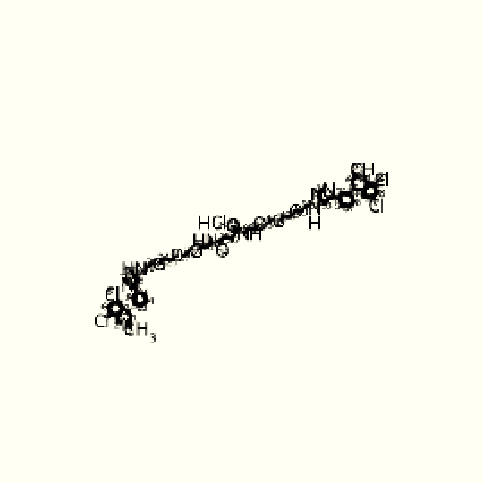 CN1Cc2c(Cl)cc(Cl)cc2[C@H](c2cccc(-c3cc(NCCOCCOCCOCCNC(=O)CCC(=O)NCCOCCOCCOCCNc4cc(-c5cccc([C@@H]6CN(C)Cc7c(Cl)cc(Cl)cc76)c5)ncn4)ncn3)c2)C1.Cl